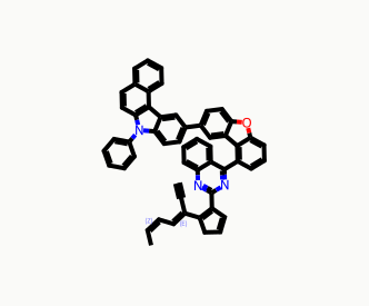 C#C/C(=C\C=C/C)C1=C(c2nc(-c3cccc4oc5ccc(-c6ccc7c(c6)c6c8ccccc8ccc6n7-c6ccccc6)cc5c34)c3ccccc3n2)C=CC1